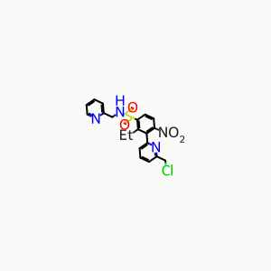 CCc1c(S(=O)(=O)NCc2ccccn2)ccc([N+](=O)[O-])c1-c1cccc(CCl)n1